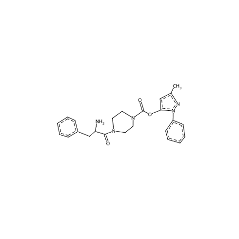 Cc1cc(OC(=O)N2CCN(C(=O)C(N)Cc3ccccc3)CC2)n(-c2ccccc2)n1